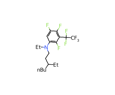 CCCCC(CC)CCN(CC)c1cc(F)c(F)c(C(F)(F)C(F)(F)F)c1F